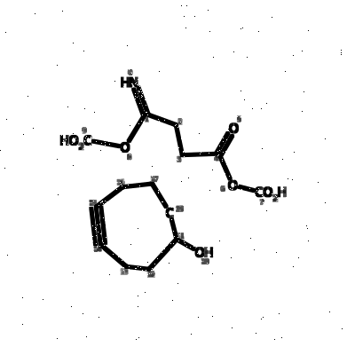 N=C(CCC(=O)OC(=O)O)OC(=O)O.OC1CCC#CCCC1